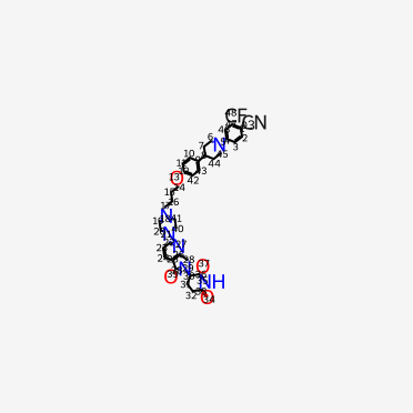 N#Cc1ccc(N2CCC(c3ccc(OCCCCN4CCN(c5ccc6c(n5)CN(C5CCC(=O)NC5=O)C6=O)CC4)cc3)CC2)cc1C(F)(F)F